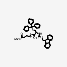 COC(=O)CCCNC(=O)C(CSC(c1ccccc1)(c1ccccc1)c1ccccc1)NC(=O)OCC1c2ccccc2-c2ccccc21